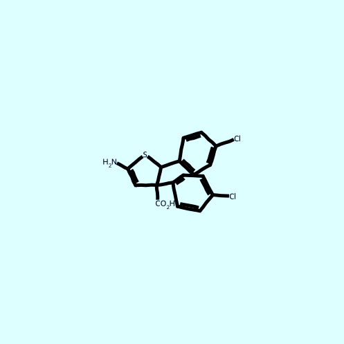 NC1=CC(C(=O)O)(c2ccc(Cl)cc2)C(c2ccc(Cl)cc2)S1